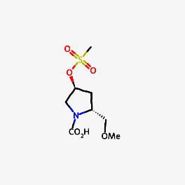 COC[C@H]1C[C@H](OS(C)(=O)=O)CN1C(=O)O